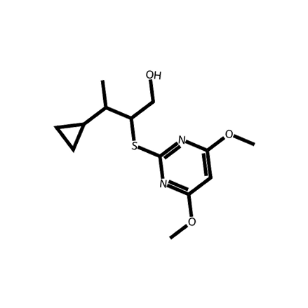 COc1cc(OC)nc(SC(CO)C(C)C2CC2)n1